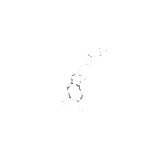 CC(C)c1cc2cc(CNC(=O)C3(C)CC3)[nH]c2cc1O